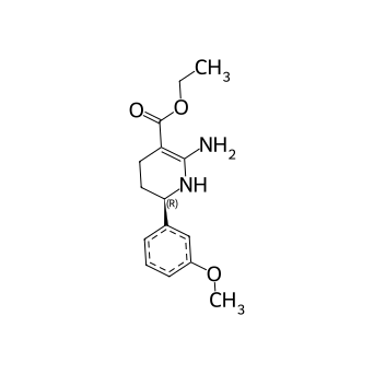 CCOC(=O)C1=C(N)N[C@@H](c2cccc(OC)c2)CC1